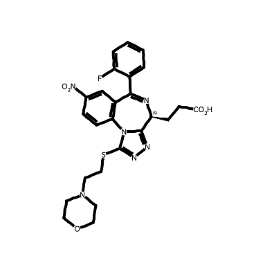 O=C(O)CC[C@@H]1N=C(c2ccccc2F)c2cc([N+](=O)[O-])ccc2-n2c(SCCN3CCOCC3)nnc21